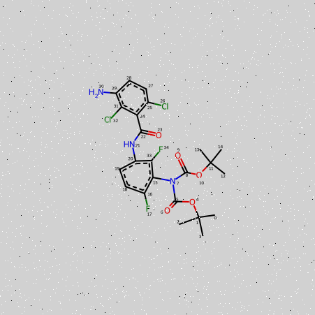 CC(C)(C)OC(=O)N(C(=O)OC(C)(C)C)c1c(F)ccc(NC(=O)c2c(Cl)ccc(N)c2Cl)c1F